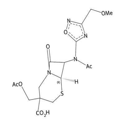 COCc1noc(N(C(C)=O)C2C(=O)N3CC(COC(C)=O)(C(=O)O)CS[C@H]23)n1